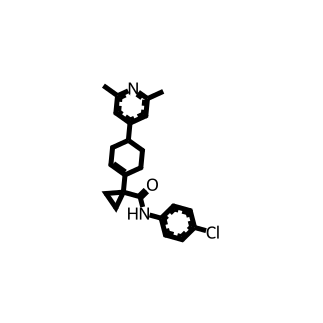 Cc1cc(C2CC=C(C3(C(=O)Nc4ccc(Cl)cc4)CC3)CC2)cc(C)n1